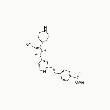 COC(=O)c1ccc(C=Cc2cc(-c3cc(C#N)c(N4CCNCC4)[nH]3)ccn2)cc1